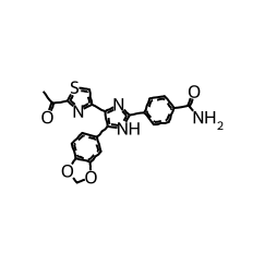 CC(=O)c1nc(-c2nc(-c3ccc(C(N)=O)cc3)[nH]c2-c2ccc3c(c2)OCO3)cs1